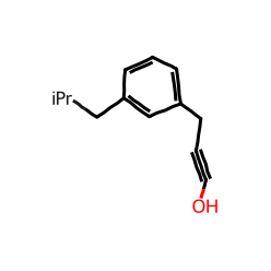 CC(C)Cc1cccc(CC#CO)c1